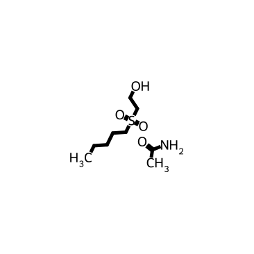 CC(N)=O.CCCCCS(=O)(=O)CCO